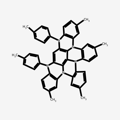 Cc1ccc(B2c3ccc(C)cc3N3c4cc(C)ccc4B4c5ccc(C)cc5N5c6cc(C)ccc6B(c6ccc(C)cc6)c6cc2c3c4c65)cc1